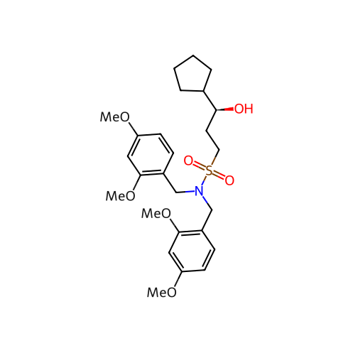 COc1ccc(CN(Cc2ccc(OC)cc2OC)S(=O)(=O)CC[C@H](O)C2CCCC2)c(OC)c1